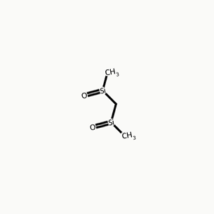 C[Si](=O)C[Si](C)=O